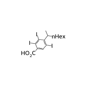 CCCCCCC(C)c1c(I)cc(C(=O)O)c(I)c1I